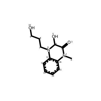 CN1C(=O)C(O)N(CCCO)c2ccccc21